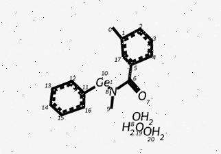 Cc1cccc(C(=O)[N](C)[Ge][c]2ccccc2)c1.O.O.O